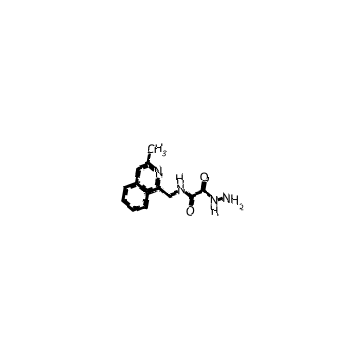 Cc1cc2ccccc2c(CNC(=O)C(=O)NN)n1